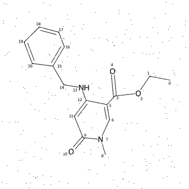 CCOC(=O)c1cn(C)c(=O)cc1NCc1ccccc1